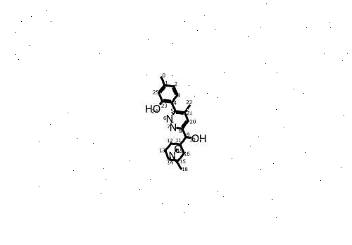 Cc1ccc(-c2nnc(C(O)C34CCC(CC3)N(C)C4)cc2C)c(O)c1